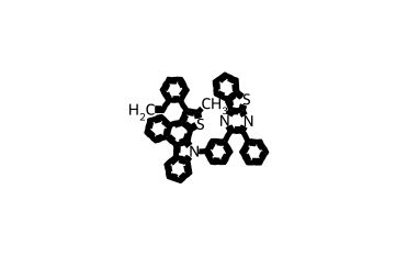 C=Cc1ccccc1-c1c(C)sc2c1c1ccccc1c1c3ccccc3n(-c3cccc(-c4nc5c(nc4-c4ccccc4)sc4ccccc45)c3)c21